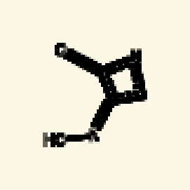 O=c1ncc1=NO